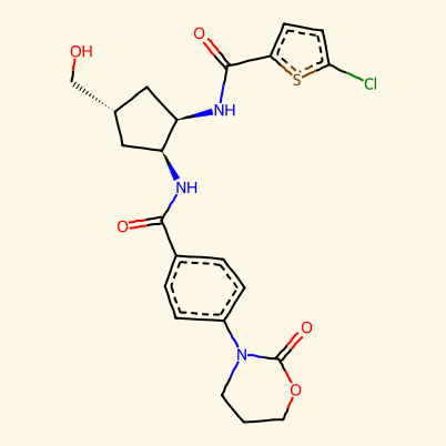 O=C(N[C@H]1C[C@H](CO)C[C@H]1NC(=O)c1ccc(Cl)s1)c1ccc(N2CCCOC2=O)cc1